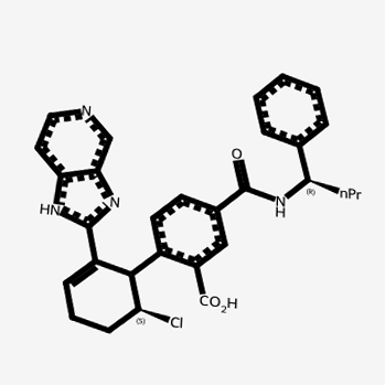 CCC[C@@H](NC(=O)c1ccc(C2C(c3nc4cnccc4[nH]3)=CCC[C@@H]2Cl)c(C(=O)O)c1)c1ccccc1